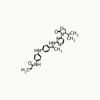 C=CC(=O)Nc1ccc(Nc2ccc([C@H](C)Nc3nccc(N4C(=O)OCC4C(C)C)n3)cc2)cc1